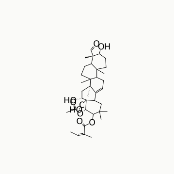 C/C=C(/C)C(=O)OC1[C@H](OC(C)=O)C2(CO)C(CC1(C)C)C1=CCC3C4(C)CCC(O)[C@@](C)(C=O)C4CCC3(C)[C@]1(C)C[C@H]2O